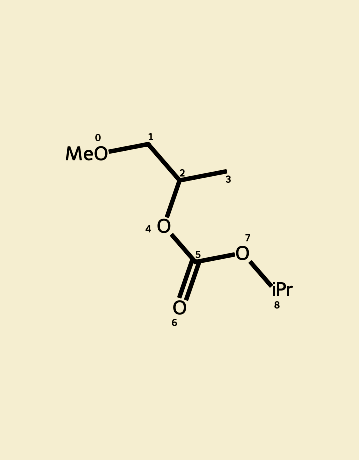 COCC(C)OC(=O)OC(C)C